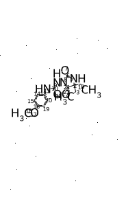 CCC1(CC)NC(=O)N(NC(=O)Nc2ccc(OC)cc2)C1=O